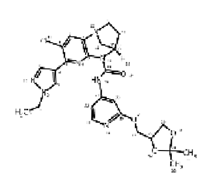 CCn1cc(-c2nc3c(cc2Cl)N2CC[C@@H](C2)N3C(=O)Nc2ccnc(OCC3COC(C)(C)O3)c2)cn1